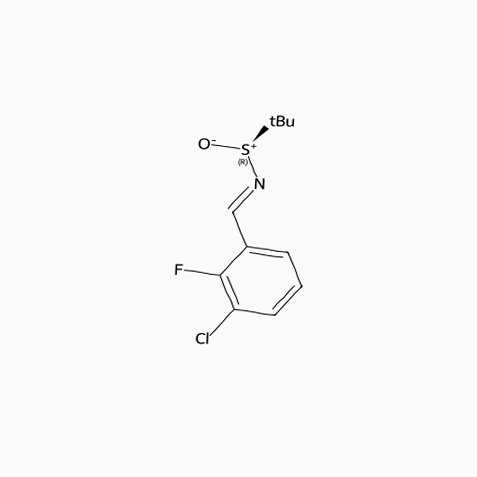 CC(C)(C)[S@+]([O-])N=Cc1cccc(Cl)c1F